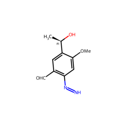 COc1cc(N=N)c(C=O)cc1[C@@H](C)O